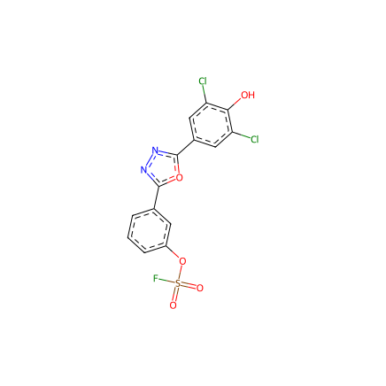 O=S(=O)(F)Oc1cccc(-c2nnc(-c3cc(Cl)c(O)c(Cl)c3)o2)c1